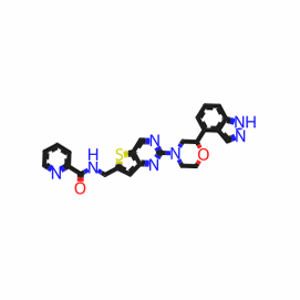 O=C(NCc1cc2nc(N3CCOC(c4cccc5[nH]ncc45)C3)ncc2s1)c1ccccn1